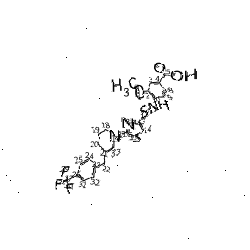 COc1cc(C(=O)O)ccc1NSc1csc(N2CCCC(Cc3ccc(C(F)(F)F)cc3)C2)n1